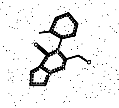 Cc1ccccc1-n1c(CCl)nn2cccc2c1=O